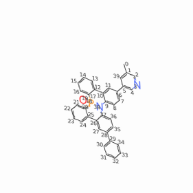 Cc1cncc(-c2ccc3c(c2)-c2ccccc2P2(=O)c4ccccc4-c4cc(-c5ccccc5)ccc4N32)c1